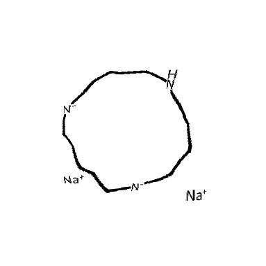 C1C[N-]CCCNCCC[N-]C1.[Na+].[Na+]